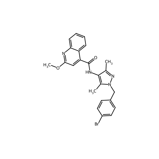 COc1cc(C(=O)Nc2c(C)nn(Cc3ccc(Br)cc3)c2C)c2ccccc2n1